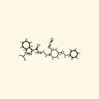 CC(C)n1nc(C(=O)NCCN2CCC(OCc3ccccc3)CC2N=C=O)c2ccccc21